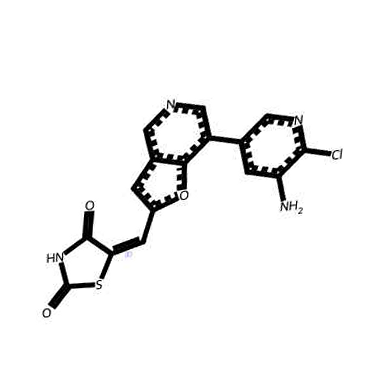 Nc1cc(-c2cncc3cc(/C=C4/SC(=O)NC4=O)oc23)cnc1Cl